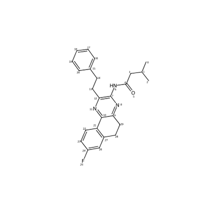 CC(C)CC(=O)Nc1nc2c(nc1CCc1ccccc1)-c1ccc(F)cc1CC2